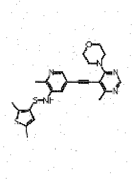 Cc1cc(SNc2cc(C#Cc3c(C)ncnc3N3CCOCC3)cnc2C)c(C)s1